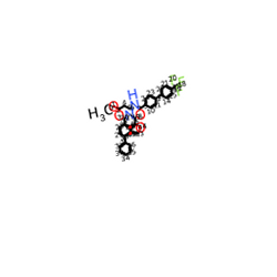 COC(=O)CC(NC(=O)c1ccc(-c2ccc(C(F)(F)F)cc2)cc1)N(Cc1ccc(-c2ccccc2)cc1)Cc1ccco1